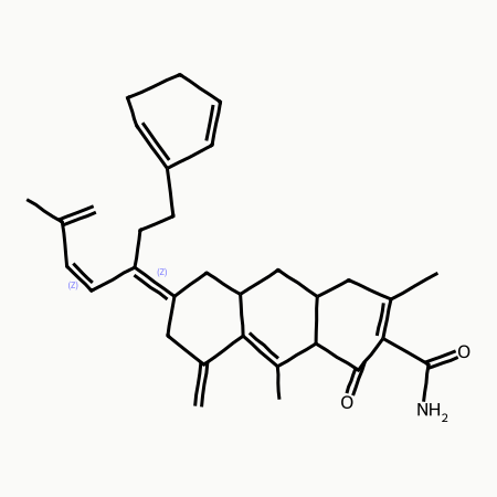 C=C(C)/C=C\C(CCC1=CCCC=C1)=C1/CC(=C)C2=C(C)C3C(=O)C(C(N)=O)=C(C)CC3CC2C1